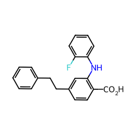 O=C(O)c1ccc(CCc2ccccc2)cc1Nc1ccccc1F